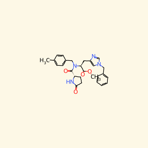 COC(=O)[C@H](Cc1cn(Cc2ccccc2)cn1)N(Cc1ccc(C)cc1)C(=O)[C@@H]1CCC(=O)N1